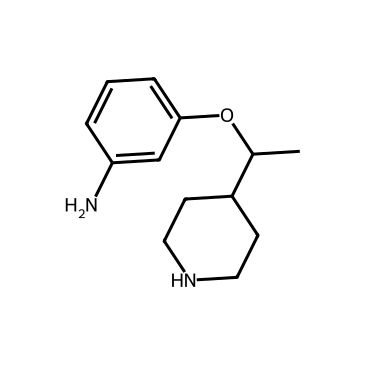 CC(Oc1cccc(N)c1)C1CCNCC1